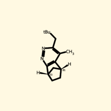 Cc1c(CC(C)(C)C)nnc2c1[C@@H]1CC[C@H]2C1